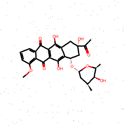 COc1cccc2c1C(=O)c1c(O)c3c(c(O)c1C2=O)C[C@@](O)(C(C)=O)C[C@@H]3O[C@H]1C[C@H](C)[C@H](O)[C@H](C)O1